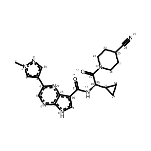 Cn1cc(-c2cnc3[nH]cc(C(=O)N[C@@H](C(=O)N4CCC(C#N)CC4)C4CC4)c3n2)cn1